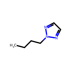 CCCCn1nccn1